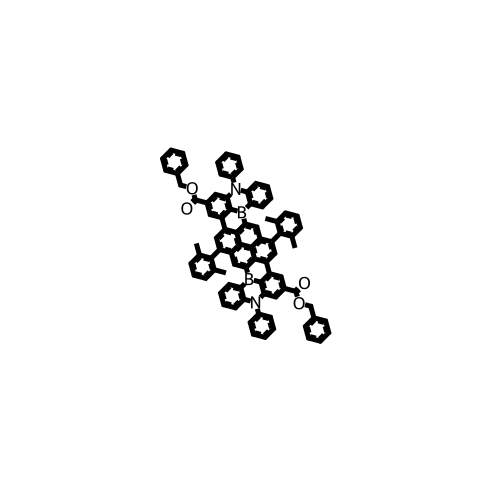 Cc1cccc(C)c1-c1cc2c3c(cc4c(-c5c(C)cccc5C)cc5c6c(cc1c3c46)B1c3ccccc3N(c3ccccc3)c3cc(C(=O)OCc4ccccc4)cc-5c31)B1c3ccccc3N(c3ccccc3)c3cc(C(=O)OCc4ccccc4)cc-2c31